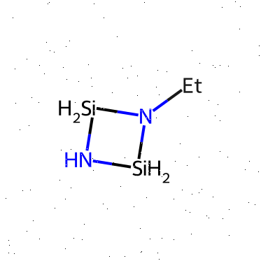 CCN1[SiH2]N[SiH2]1